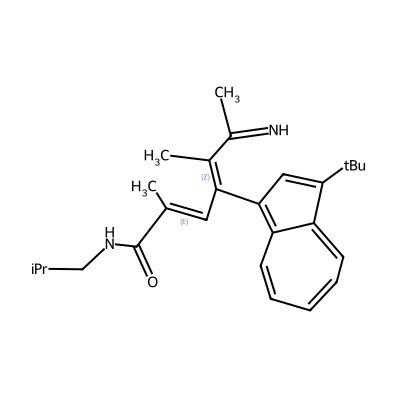 CC(=N)/C(C)=C(/C=C(\C)C(=O)NCC(C)C)c1cc(C(C)(C)C)c2cccccc1-2